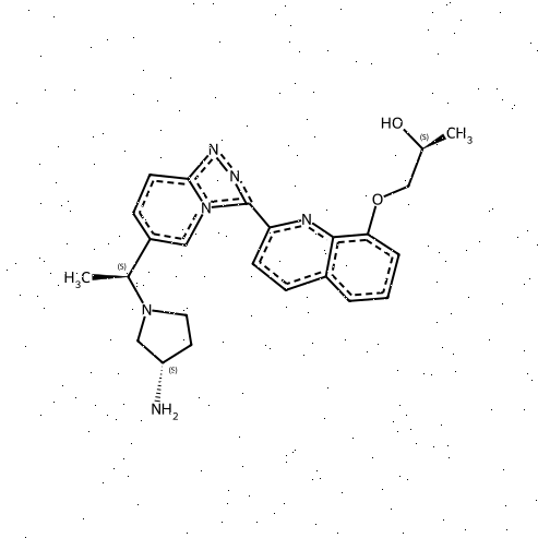 C[C@H](O)COc1cccc2ccc(-c3nnc4ccc([C@H](C)N5CC[C@H](N)C5)cn34)nc12